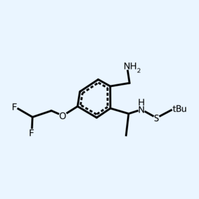 CC(NSC(C)(C)C)c1cc(OCC(F)F)ccc1CN